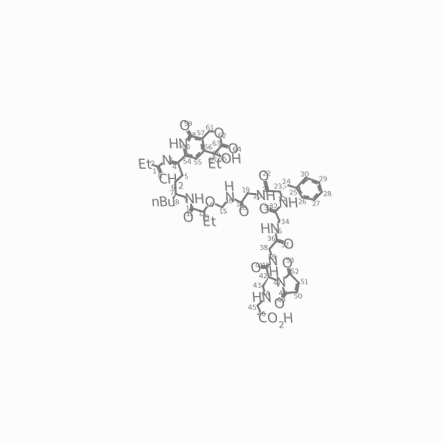 C=C(CC)/N=C(\CC[C@H](CCCC)NC(=O)[C@H](CC)OCNC(=O)CNC(=O)[C@H](Cc1ccccc1)NC(=O)CNC(=O)CNC(=O)[C@H](CNCC(=O)O)N1C(=O)C=CC1=O)c1cc2c(c(=O)[nH]1)COC(=O)[C@]2(O)CC